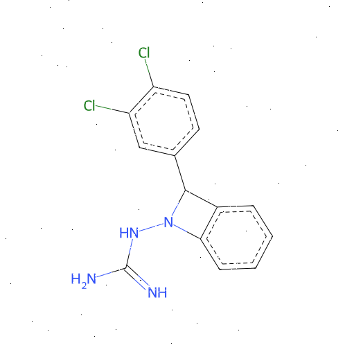 N=C(N)NN1c2ccccc2C1c1ccc(Cl)c(Cl)c1